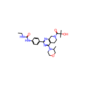 CCNC(=O)Nc1ccc(-c2nc3c(c(N4CCOCC4C)n2)CCN(C(=O)C(C)(C)O)C3)cc1